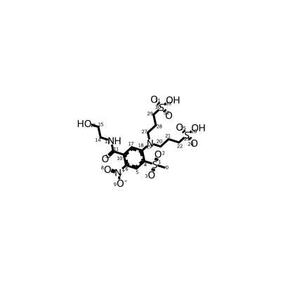 CS(=O)(=O)c1cc([N+](=O)[O-])c(C(=O)NCCO)cc1N(CCCS(=O)(=O)O)CCCS(=O)(=O)O